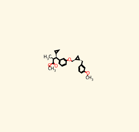 COC(=O)[C@@H](C)[C@H](c1cccc(OC[C@H]2C[C@@H]2Cc2cccc(OC)c2)c1)C1CC1